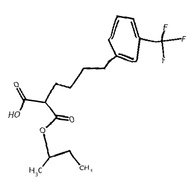 CCC(C)OC(=O)C(CCCCc1cccc(C(F)(F)F)c1)C(=O)O